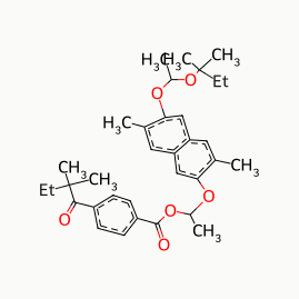 CCC(C)(C)OC(C)Oc1cc2cc(C)c(OC(C)OC(=O)c3ccc(C(=O)C(C)(C)CC)cc3)cc2cc1C